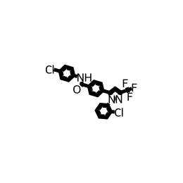 O=C(Nc1ccc(Cl)cc1)c1ccc(-c2cc(C(F)(F)F)nn2-c2ccccc2Cl)cc1